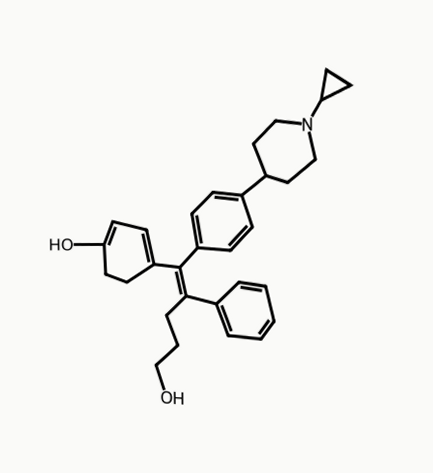 OCCC/C(=C(\C1=CC=C(O)CC1)c1ccc(C2CCN(C3CC3)CC2)cc1)c1ccccc1